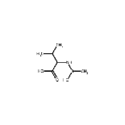 CB(O)NC(C(=O)O)C(C)C